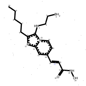 BCCNc1c(CCCCC)nc2cc(/C=C/C(=O)NO)ccn12